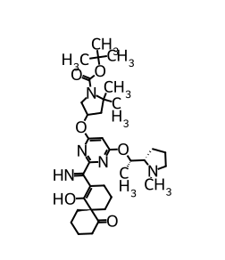 C[C@H](Oc1cc(OC2CN(C(=O)OC(C)(C)C)C(C)(C)C2)nc(C(=N)C2=C(O)[C@]3(CCCCC3=O)CCC2)n1)[C@@H]1CCCN1C